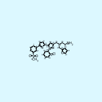 CS(=O)(=O)c1cccc(-c2ccc(-c3cc(CN(CCN)Cc4ccco4)nn3-c3ccccc3Cl)s2)c1